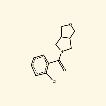 O=C(c1ccccc1Cl)N1CC2COCC2C1